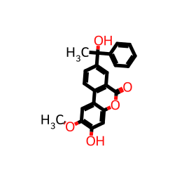 COc1cc2c(cc1O)oc(=O)c1cc(C(C)(O)c3ccccc3)ccc12